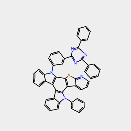 c1ccc(-c2nc(-c3ccccc3)nc(-c3cccc(-n4c5ccccc5c5c6c7ccccc7n(-c7ccccc7)c6c6c7cccnc7sc6c54)c3)n2)cc1